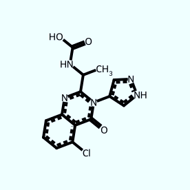 CC(NC(=O)O)c1nc2cccc(Cl)c2c(=O)n1-c1cn[nH]c1